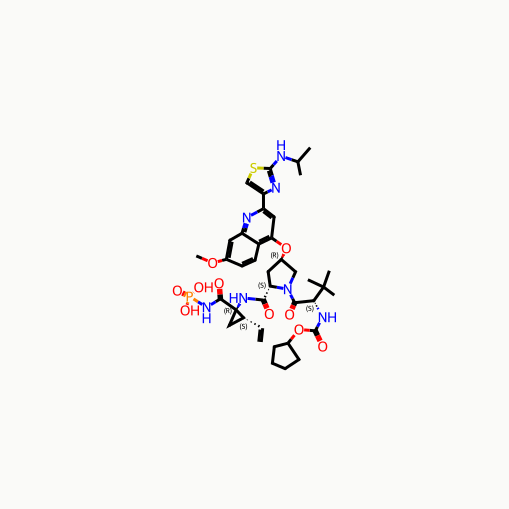 C=C[C@@H]1C[C@]1(NC(=O)[C@@H]1C[C@@H](Oc2cc(-c3csc(NC(C)C)n3)nc3cc(OC)ccc23)CN1C(=O)[C@@H](NC(=O)OC1CCCC1)C(C)(C)C)C(=O)NP(=O)(O)O